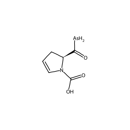 O=C([AsH2])[C@@H]1CC=CN1C(=O)O